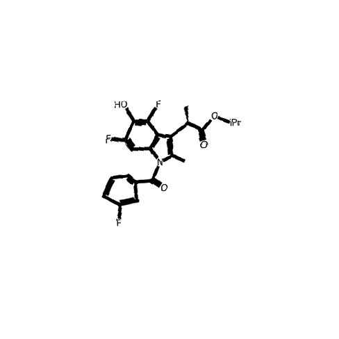 Cc1c([C@@H](C)C(=O)OC(C)C)c2c(F)c(O)c(F)cc2n1C(=O)c1cccc(F)c1